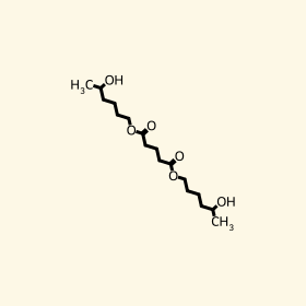 CC(O)CCCCOC(=O)CCCC(=O)OCCCCC(C)O